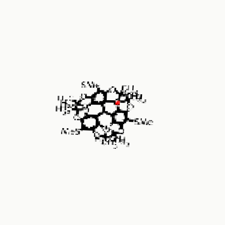 CSc1c2c(c([C](c3c4c(c(SC)c5c3OC(C)(C)O5)OC(C)(C)O4)c3c4c(c(SC)c5c3OC(C)(C)O5)OC(C)(C)O4)c3c1OC(C)(C)O3)OC(C)(C)O2